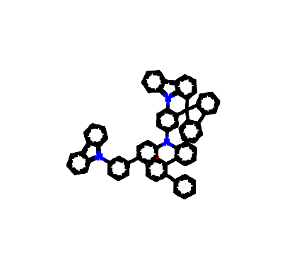 c1ccc(-c2ccccc2-c2ccccc2N(c2ccc(-c3cccc(-n4c5ccccc5c5ccccc54)c3)cc2)c2ccc3c(c2)C2(c4ccccc4-c4ccccc42)c2cccc4c5ccccc5n-3c24)cc1